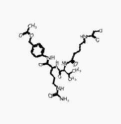 CC(=O)OCc1ccc(NC(=O)C(CCCNC(N)=O)NC(=O)C(NC(=O)CCCCNC(=O)CCl)C(C)C)cc1